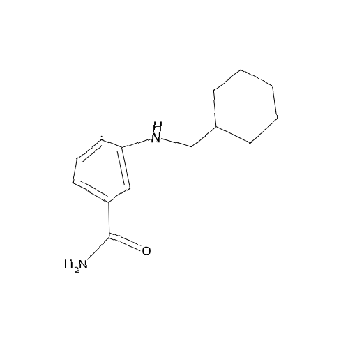 NC(=O)c1cc[c]c(NCC2CCCCC2)c1